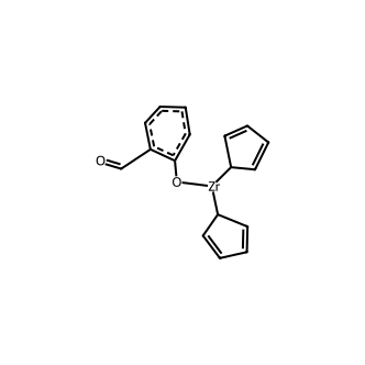 O=Cc1ccccc1[O][Zr]([CH]1C=CC=C1)[CH]1C=CC=C1